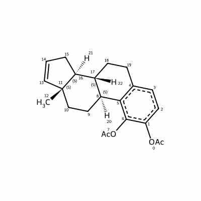 CC(=O)Oc1ccc2c(c1OC(C)=O)[C@H]1CC[C@]3(C)C=CC[C@H]3[C@@H]1CC2